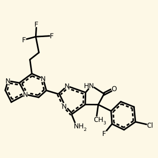 CC1(c2ccc(Cl)cc2F)C(=O)Nc2nc(-c3cn4ccnc4c(CCC(F)(F)F)n3)nc(N)c21